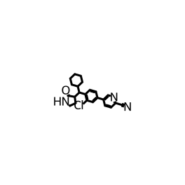 N#Cc1ccc(-c2ccc(C(C3CCCCC3)C3CCNC3=O)c(Cl)c2)cn1